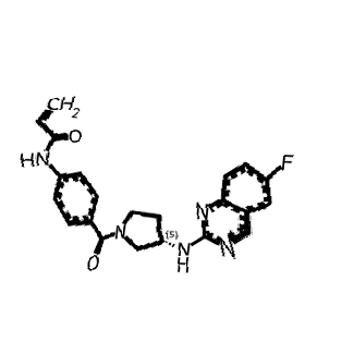 C=CC(=O)Nc1ccc(C(=O)N2CC[C@H](Nc3ncc4cc(F)ccc4n3)C2)cc1